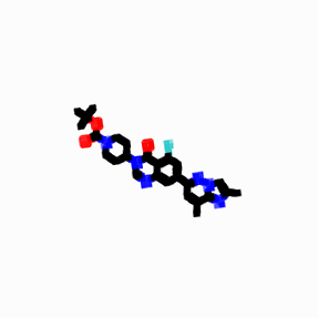 Cc1cn2nc(-c3cc(F)c4c(=O)n(C5CCN(C(=O)OC(C)(C)C)CC5)cnc4c3)cc(C)c2n1